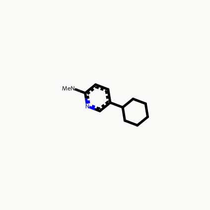 CNc1ccc(C2CCCCC2)cn1